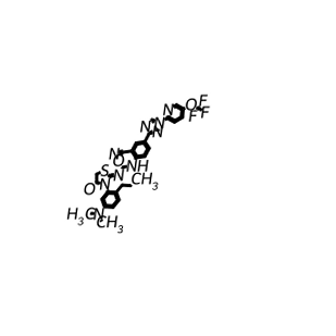 CCCc1ccc(N(C)C)cc1N1C(=O)CSC1=NC(=O)Nc1ccc(-c2ncn(-c3ccc(OC(F)(F)F)cn3)n2)cc1C#N